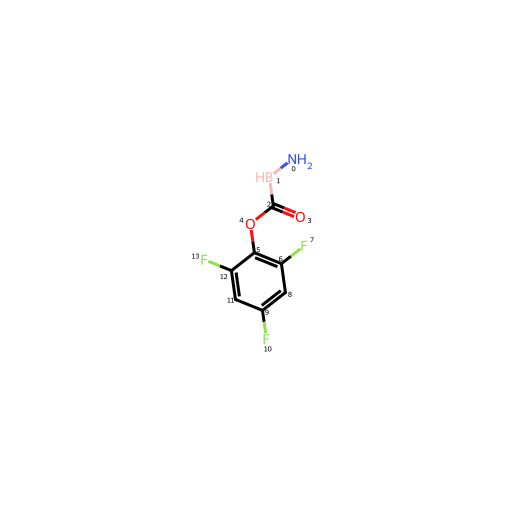 NBC(=O)Oc1c(F)cc(F)cc1F